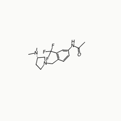 CC(=O)Nc1ccc(CN2CC[C@H](N(C)C)C2)c(C(F)(F)F)c1